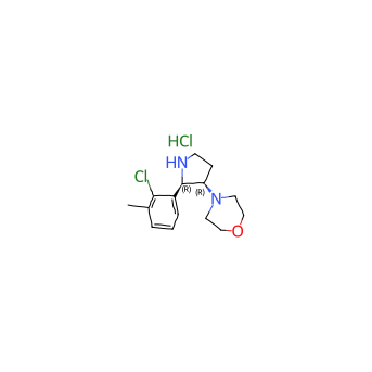 Cc1cccc([C@H]2NCC[C@H]2N2CCOCC2)c1Cl.Cl